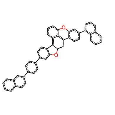 c1cc2c3c(c1)=C1c4ccc(-c5ccc(-c6ccc7ccccc7c6)cc5)cc4OC1CC=3c1ccc(-c3cccc4ccccc34)cc1O2